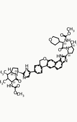 COC(=O)N[C@H](C(=O)N1[C@@H](C)CC[C@H]1c1nc2ccc3cc4c(cc3c2[nH]1)OCc1cc(-c2cnc([C@@H]3CC[C@@H]5C(C)C(C)[C@H](NC(=O)OC)C(=O)N53)[nH]2)ccc1-4)C1CCOCC1